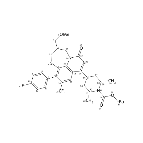 COCC1CSc2c(-c3ccc(F)cc3)c(C(F)(F)F)cc3c(N4C[C@@H](C)N(C(=O)OC(C)(C)C)[C@@H](C)C4)nc(=O)n(c23)C1